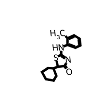 Cc1ccccc1NC1=NC(=O)C(C2CCCCC2)S1